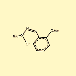 COc1ccccc1/C=N\[S+]([O-])C(C)(C)C